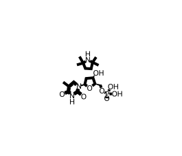 CC1(C)CCC(C)(C)N1.Cc1cn([C@H]2C[C@H](O)[C@@H](COP(=O)(O)O)O2)c(=O)[nH]c1=O